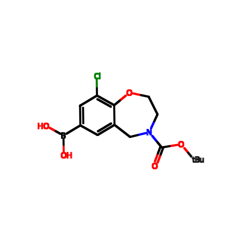 CC(C)(C)OC(=O)N1CCOc2c(Cl)cc(B(O)O)cc2C1